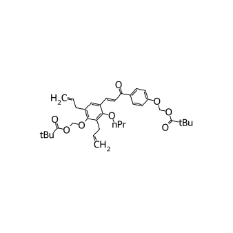 C=CCc1cc(C=CC(=O)c2ccc(OCOC(=O)C(C)(C)C)cc2)c(OCCC)c(CC=C)c1OCOC(=O)C(C)(C)C